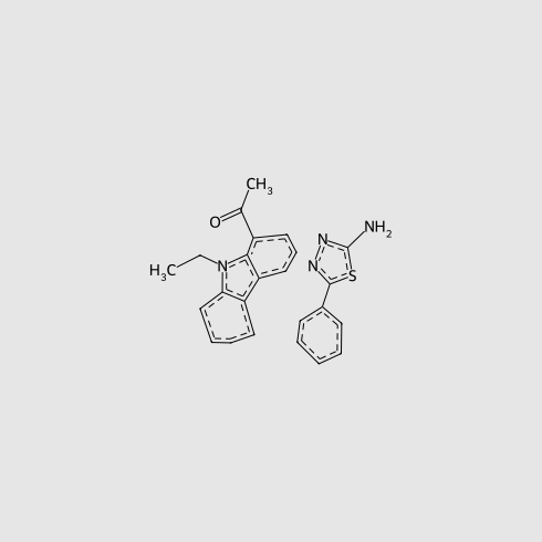 CCn1c2ccccc2c2cccc(C(C)=O)c21.Nc1nnc(-c2ccccc2)s1